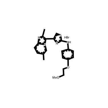 Br.COCCOc1ccc(Nc2nc(-c3c(C)nc4ccc(C)cn34)cs2)cc1